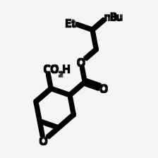 CCCCC(CC)COC(=O)C1CC2OC2CC1C(=O)O